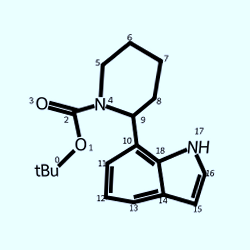 CC(C)(C)OC(=O)N1CCCCC1c1cccc2cc[nH]c12